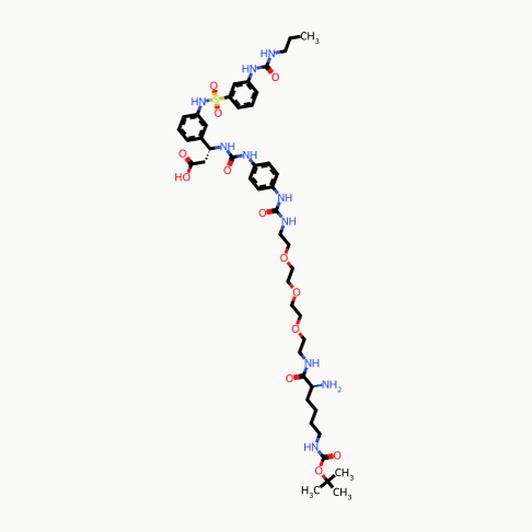 CCCNC(=O)Nc1cccc(S(=O)(=O)Nc2cccc([C@@H](CC(=O)O)NC(=O)Nc3ccc(NC(=O)NCCOCCOCCOCCNC(=O)[C@@H](N)CCCCNC(=O)OC(C)(C)C)cc3)c2)c1